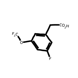 O=C(O)Cc1cc(F)cc(OC(F)(F)F)c1